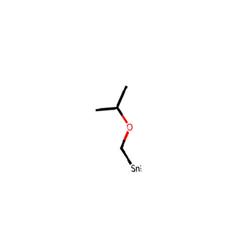 CC(C)O[CH2][Sn]